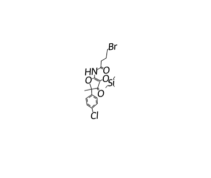 CC1(c2ccc(Cl)cc2)OC(NC(=O)CCCBr)=C(O[Si](C)(C)C)C1=O